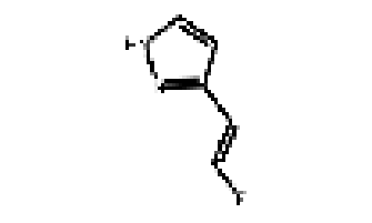 FC=Cc1cc[nH]n1